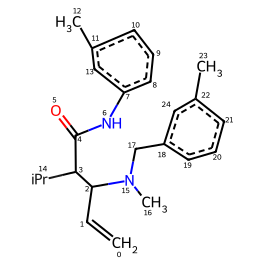 C=CC(C(C(=O)Nc1cccc(C)c1)C(C)C)N(C)Cc1cccc(C)c1